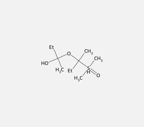 CCC(C)(O)OC(C)(CC)[SH](C)(C)=O